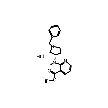 CC(C)OC(=O)c1cccnc1N(C)[C@H]1CCN(Cc2ccccc2)C1.Cl